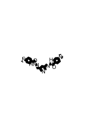 CN(C)c1ccc(C(=O)N/N=C/c2cncc(/C=N/NC(=O)c3ccc(N(C)C)cc3)c2)cc1